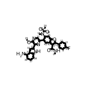 CNC(=O)c1c(-c2ccc(F)cc2)oc2cc(N(C)S(C)(=O)=O)c(-c3cnc(OC)c(-c4cc5c(N)cccc5[nH]4)n3)cc12